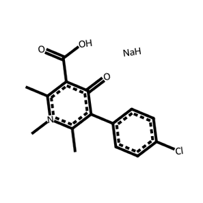 Cc1c(C(=O)O)c(=O)c(-c2ccc(Cl)cc2)c(C)n1C.[NaH]